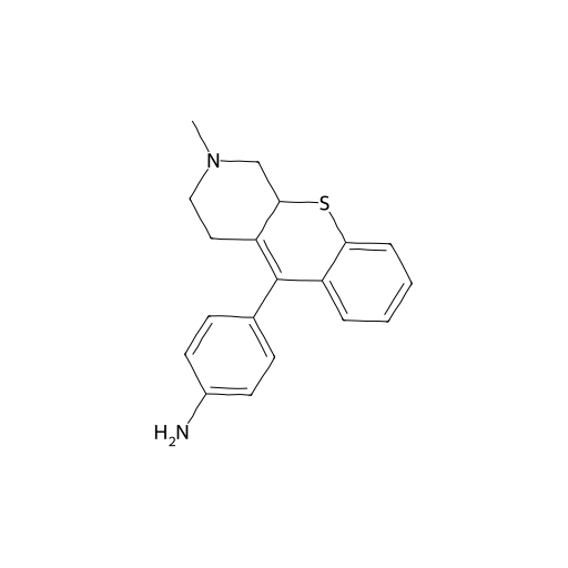 CN1CCC2=C(c3ccc(N)cc3)c3ccccc3SC2C1